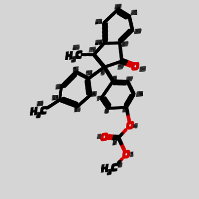 COC(=O)Oc1ccc(C2(c3ccc(C)cc3)C(=O)c3ccccc3C2C)cc1